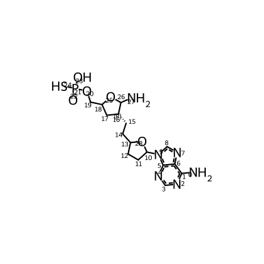 Nc1ncnc2c1ncn2C1CCC(CC[C@@H]2CC(COP(=O)(O)S)OC2N)O1